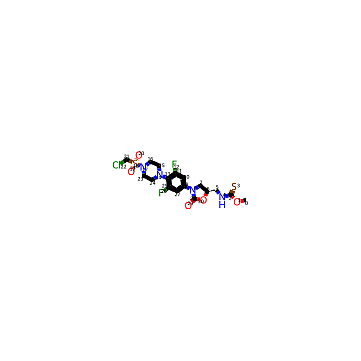 COC(=S)NC[C@H]1CN(c2cc(F)c(N3CCN(S(=O)(=O)CCl)CC3)c(F)c2)C(=O)O1